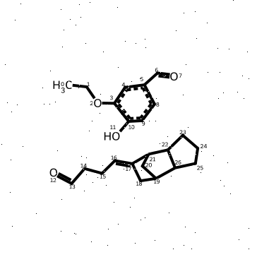 CCOc1cc(C=O)ccc1O.O=CCC/C=C1\CC2CC1C1CCCC21